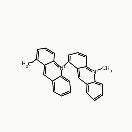 Cc1cccc2c1cc1ccccc1[n+]2-c1cccc2c1cc1ccccc1[n+]2C